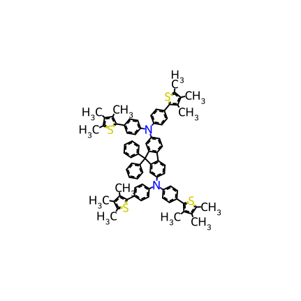 Cc1sc(-c2ccc(N(c3ccc(-c4sc(C)c(C)c4C)cc3)c3ccc4c(c3)C(c3ccccc3)(c3ccccc3)c3cc(N(c5ccc(-c6sc(C)c(C)c6C)cc5)c5ccc(-c6sc(C)c(C)c6C)cc5)ccc3-4)cc2)c(C)c1C